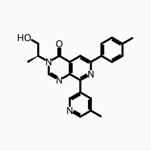 Cc1ccc(-c2cc3c(=O)n([C@@H](C)CO)cnc3c(-c3cncc(C)c3)n2)cc1